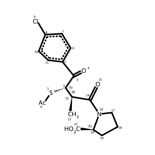 CC(=O)S[C@H](C(=O)c1ccc(Cl)cc1)[C@H](C)C(=O)N1CCC[C@H]1C(=O)O